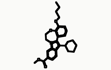 CCCCOc1cccc2c1OCCn1c-2c(C2CCCCC2)c2ccc(C(=O)OC)cc21